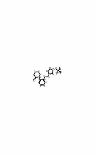 O=C1CCCCN1c1ccccc1CCN1CC[C@H](CC(F)(F)F)C1